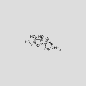 Nc1ncn(C2O[C@H](CO)C(O)C2O)c(=O)n1